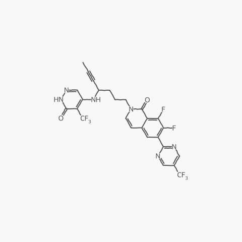 CC#CC(CCCn1ccc2cc(-c3ncc(C(F)(F)F)cn3)c(F)c(F)c2c1=O)Nc1cn[nH]c(=O)c1C(F)(F)F